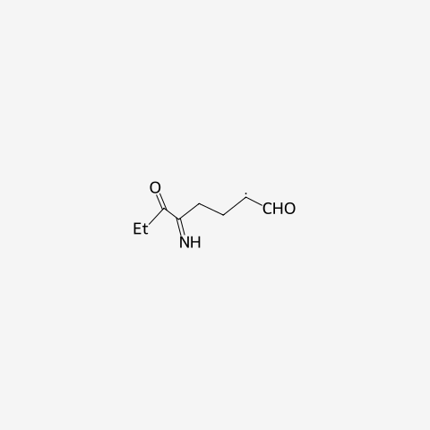 CCC(=O)C(=N)CC[CH]C=O